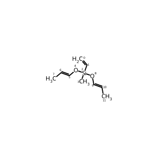 C=C[Si](C)(OC=CC)OC=CC